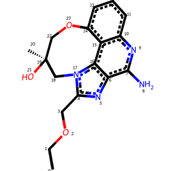 CCOCc1nc2c(N)nc3cccc4c3c2n1C[C@@](C)(O)CO4